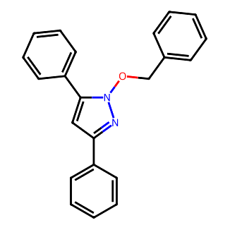 c1ccc(COn2nc(-c3ccccc3)cc2-c2ccccc2)cc1